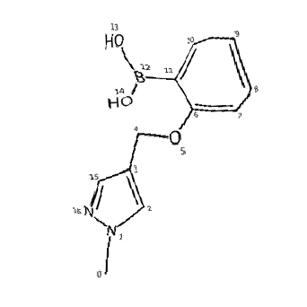 Cn1cc(COc2ccccc2B(O)O)cn1